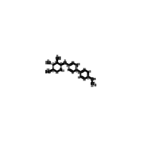 O[C@@H]1[C@@H](O)[C@@H](Oc2ccc(-c3ccc(OC(F)(F)F)cc3)nc2)SC[C@H]1O